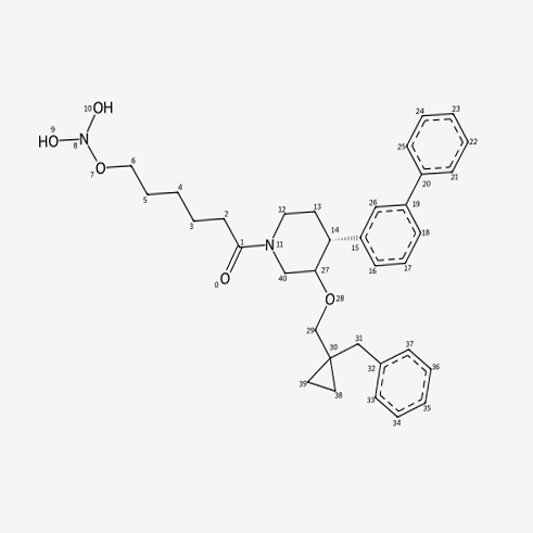 O=C(CCCCCON(O)O)N1CC[C@H](c2cccc(-c3ccccc3)c2)C(OCC2(Cc3ccccc3)CC2)C1